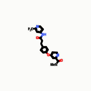 CNC(=O)c1cc(Oc2ccc(CCC(=O)Nc3ccnc(C(F)(F)F)c3)cc2)ccn1